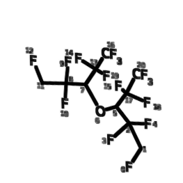 FCC(F)(F)C(OC(C(F)(F)CF)C(F)(F)C(F)(F)F)C(F)(F)C(F)(F)F